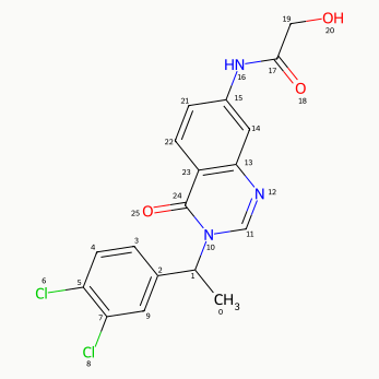 CC(c1ccc(Cl)c(Cl)c1)n1cnc2cc(NC(=O)CO)ccc2c1=O